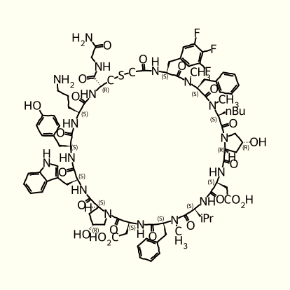 CCCC[C@H]1C(=O)N2C[C@H](O)C[C@@H]2C(=O)N[C@@H](CC(=O)O)C(=O)N[C@@H](C(C)C)C(=O)N(C)[C@@H](Cc2ccccc2)C(=O)N[C@@H](CC(=O)O)C(=O)N2C[C@H](O)C[C@H]2C(=O)N[C@@H](Cc2c[nH]c3ccccc23)C(=O)N[C@@H](Cc2ccc(O)cc2)C(=O)N[C@@H](CCCN)C(=O)N[C@H](C(=O)NCC(N)=O)CSCC(=O)N[C@@H](Cc2cc(F)c(F)c(F)c2)C(=O)N(C)[C@@H](Cc2ccccc2)C(=O)N1C